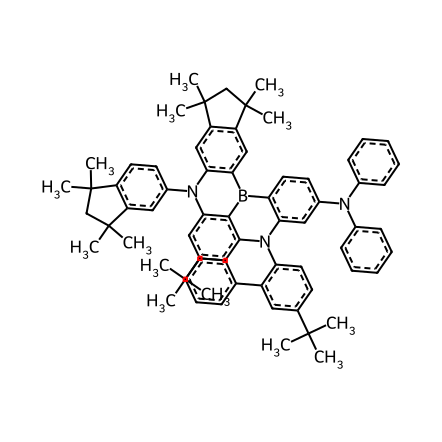 CC(C)(C)c1ccc(N2c3cc(N(c4ccccc4)c4ccccc4)ccc3B3c4cc5c(cc4N(c4ccc6c(c4)C(C)(C)CC6(C)C)c4cc(C(C)(C)C)cc2c43)C(C)(C)CC5(C)C)c(-c2ccccc2)c1